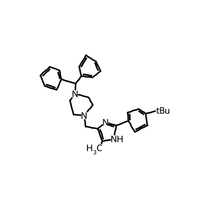 Cc1[nH]c(-c2ccc(C(C)(C)C)cc2)nc1CN1CCN(C(c2ccccc2)c2ccccc2)CC1